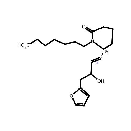 O=C(O)CCCCCCN1C(=O)CCC[C@@H]1/C=C/C(O)Cc1ccco1